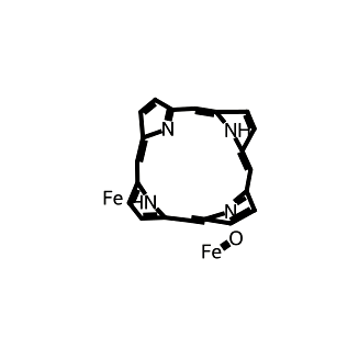 C1=Cc2cc3ccc(cc4nc(cc5ccc(cc1n2)[nH]5)C=C4)[nH]3.[Fe].[O]=[Fe]